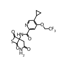 NC(=O)CC1(NC(=O)c2cc(OCC(F)(F)F)c(C3CC3)cn2)C(=O)SC1=O